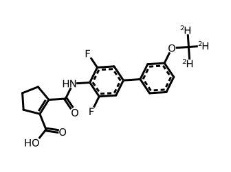 [2H]C([2H])([2H])Oc1cccc(-c2cc(F)c(NC(=O)C3=C(C(=O)O)CCC3)c(F)c2)c1